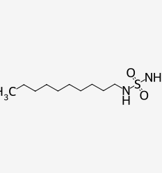 CCCCCCCCCCNS(N)(=O)=O